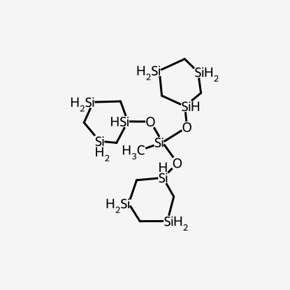 C[Si](O[SiH]1C[SiH2]C[SiH2]C1)(O[SiH]1C[SiH2]C[SiH2]C1)O[SiH]1C[SiH2]C[SiH2]C1